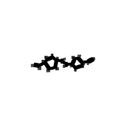 C#Cc1ccc(SSc2ccc(C#C)cc2)cc1